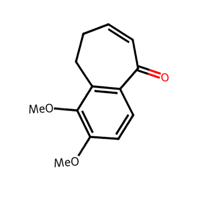 COc1ccc2c(c1OC)CCC=CC2=O